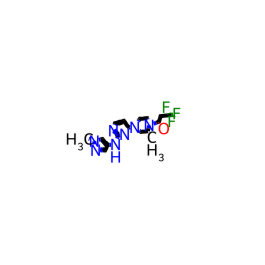 CC1CN(c2ccnc(Nc3cnn(C)c3)n2)CCN1C(=O)CC(F)(F)F